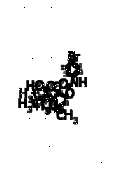 CC(C)C[C@H](OC(=O)Nc1ccc(Br)cc1)C(=O)NC(C(=O)O)C(C)(C)C